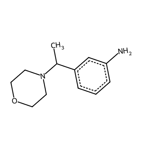 CC(c1cccc(N)c1)N1CCOCC1